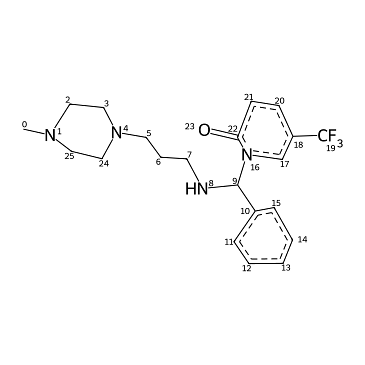 CN1CCN(CCCNC(c2ccccc2)n2cc(C(F)(F)F)ccc2=O)CC1